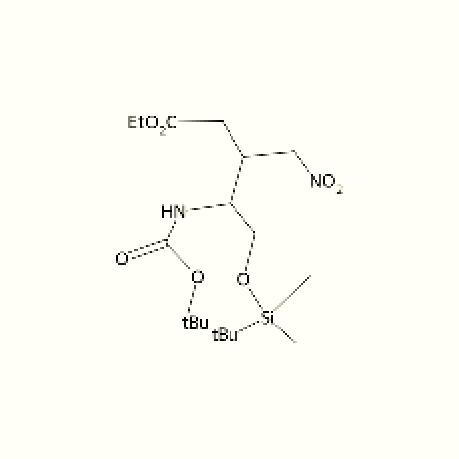 CCOC(=O)CC(C[N+](=O)[O-])C(CO[Si](C)(C)C(C)(C)C)NC(=O)OC(C)(C)C